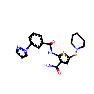 NC(=O)c1cc(SN2CCCCC2)sc1NC(=O)c1cccc(-n2cccn2)c1